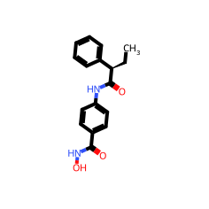 CC[C@@H](C(=O)Nc1ccc(C(=O)NO)cc1)c1ccccc1